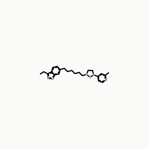 CCc1noc2cc(CCCCCCN3CCN(c4ccnc(C)c4)S3)ccc12